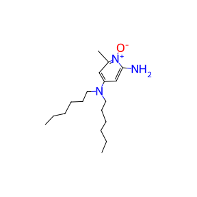 CCCCCCN(CCCCCC)c1cc(C)[n+]([O-])c(N)c1